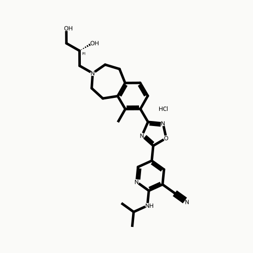 Cc1c(-c2noc(-c3cnc(NC(C)C)c(C#N)c3)n2)ccc2c1CCN(C[C@@H](O)CO)CC2.Cl